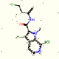 C=C(CCF)NC(=O)c1c(F)c2ccnc(Cl)c2n1C